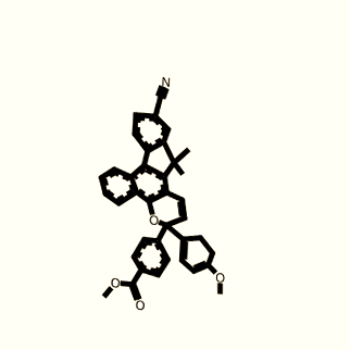 COC(=O)c1ccc(C2(C3=CC=C(OC)CC3)C=Cc3c4c(c5ccccc5c3O2)-c2ccc(C#N)cc2C4(C)C)cc1